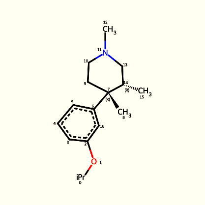 CC(C)Oc1cccc([C@]2(C)CCN(C)C[C@@H]2C)c1